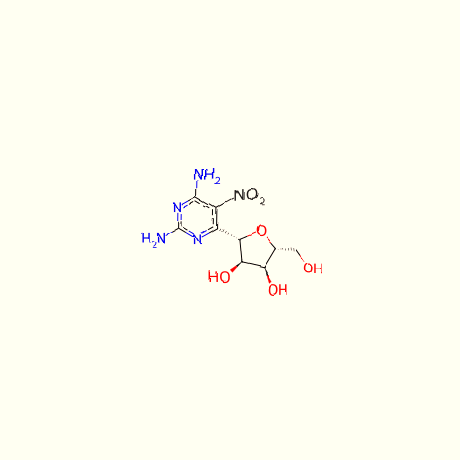 Nc1nc(N)c([N+](=O)[O-])c([C@@H]2O[C@H](CO)[C@@H](O)[C@H]2O)n1